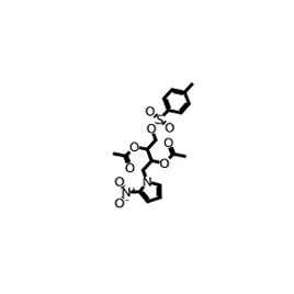 CC(=O)OC(COS(=O)(=O)c1ccc(C)cc1)C(Cn1cccc1[N+](=O)[O-])OC(C)=O